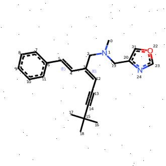 CN(CC(/C=C/c1ccccc1)=C/C#CC(C)(C)C)Cc1cocn1